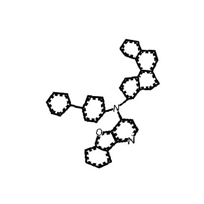 c1ccc(-c2ccc(N(c3ccc4c(ccc5ccc6ccccc6c54)c3)c3ccnc4c3oc3ccccc34)cc2)cc1